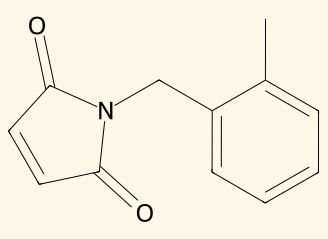 Cc1ccccc1CN1C(=O)C=CC1=O